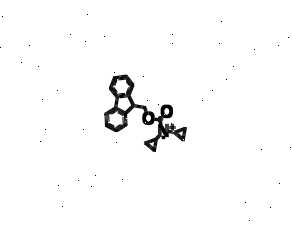 O=C(OCC1c2ccccc2-c2ccccc21)[N+](C1CC1)C1CC1